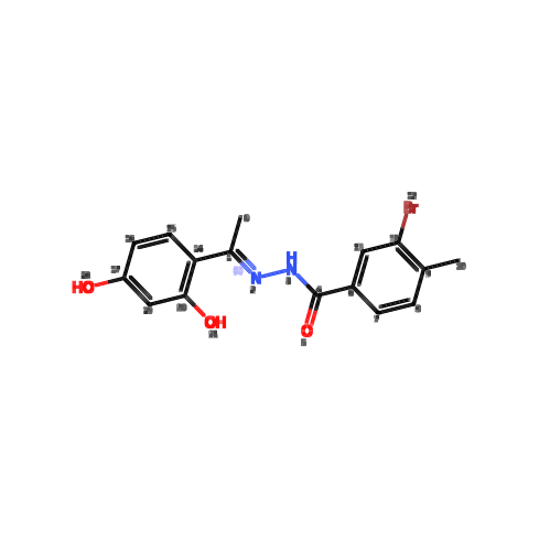 C/C(=N\NC(=O)c1ccc(C)c(Br)c1)c1ccc(O)cc1O